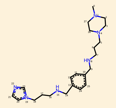 CN1CCN(CCCNCc2ccc(CNCCCn3ccnc3)cc2)CC1